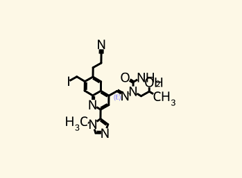 CC(O)CN(/N=C/c1cc(-c2cncn2C)nc2cc(CI)c(CCC#N)cc12)C(N)=O